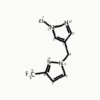 CCn1cc(Cn2ccc(C(F)(F)F)n2)cn1